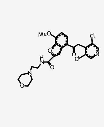 COc1ccc(C(=O)Cc2c(Cl)cncc2Cl)c2cc(C(=O)NCCN3CCOCC3)oc12